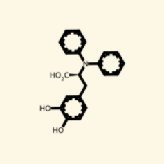 O=C(O)[C@H](Cc1ccc(O)c(O)c1)N(c1ccccc1)c1ccccc1